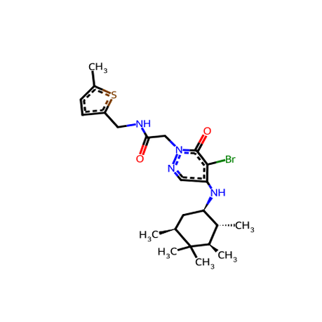 Cc1ccc(CNC(=O)Cn2ncc(N[C@@H]3C[C@H](C)C(C)(C)[C@H](C)[C@H]3C)c(Br)c2=O)s1